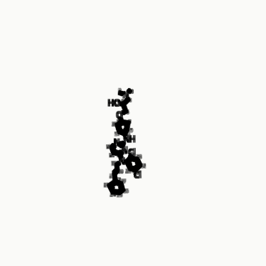 CN(C)CC(O)COc1ccc(Nc2nccc(N(CC=Cc3ccccc3)c3cc(Cl)ccc3Cl)n2)cc1